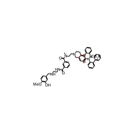 COc1ccc(CNCCNC(=O)c2cccc(C(=O)N(C)CCN3CCC(OC(=O)N(c4ccccc4-c4ccccc4)N(C(=O)O)c4ccccc4-c4ccccc4)CC3)c2)cc1O